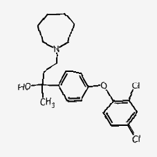 CC(O)(CCN1CCCCCC1)c1ccc(Oc2ccc(Cl)cc2Cl)cc1